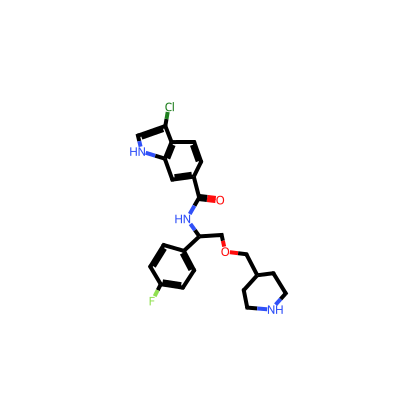 O=C(NC(COCC1CCNCC1)c1ccc(F)cc1)c1ccc2c(Cl)c[nH]c2c1